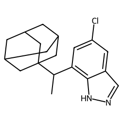 CC(c1cc(Cl)cc2cn[nH]c12)C12CC3CC(CC(C3)C1)C2